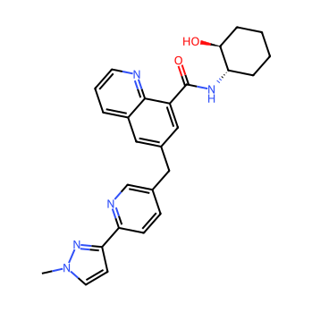 Cn1ccc(-c2ccc(Cc3cc(C(=O)N[C@H]4CCCC[C@@H]4O)c4ncccc4c3)cn2)n1